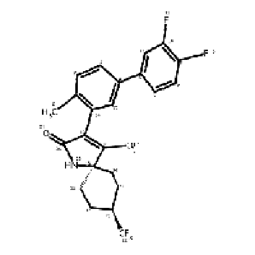 Cc1ccc(-c2ccc(F)c(F)c2)cc1C1=C(O)[C@]2(CC[C@H](C(F)(F)F)CC2)NC1=O